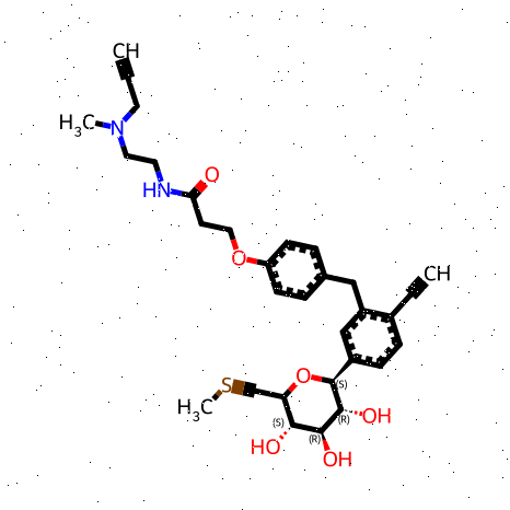 C#CCN(C)CCNC(=O)CCOc1ccc(Cc2cc([C@@H]3OC(C#SC)[C@@H](O)[C@H](O)[C@H]3O)ccc2C#C)cc1